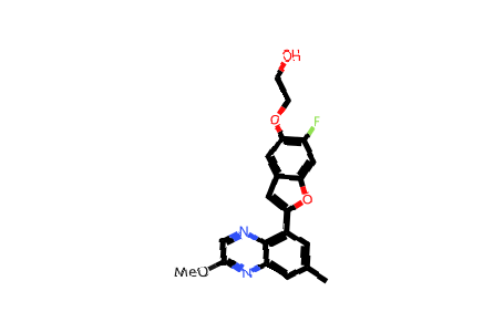 COc1cnc2c(-c3cc4cc(OCCO)c(F)cc4o3)cc(C)cc2n1